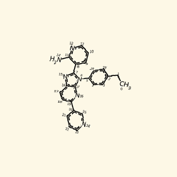 CCc1ccc(-n2c(-c3cccnc3N)nc3ccc(-c4cccnc4)nc32)cc1